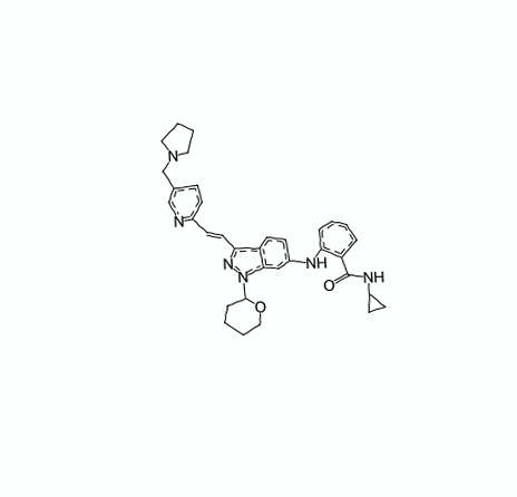 O=C(NC1CC1)c1ccccc1Nc1ccc2c(/C=C/c3ccc(CN4CCCC4)cn3)nn(C3CCCCO3)c2c1